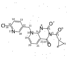 O=C(C1CC1)n1c(=O)nc2n(Cc3ccc(Cl)nc3)cccc-2c1=O